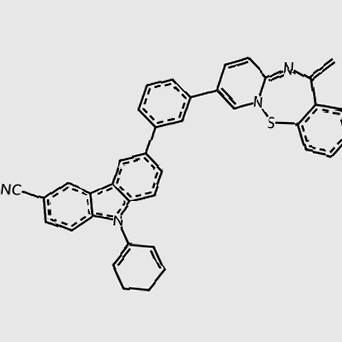 C=C1N=C2C=CC(c3cccc(-c4ccc5c(c4)c4cc(C#N)ccc4n5C4=CCCC=C4)c3)=CN2Sc2ccccc21